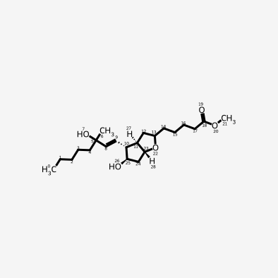 CCCCCC(C)(O)/C=C/[C@@H]1[C@H]2CC(CCCCC(=O)OC)O[C@@H]2C[C@H]1O